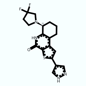 O=c1[nH]c2c(c3cc(-c4cn[nH]c4)sc13)CCC[C@@H]2N1CCC(F)(F)C1